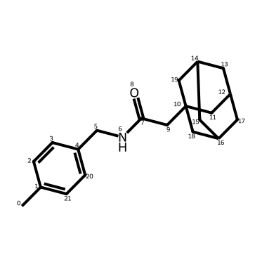 Cc1ccc(CNC(=O)CC23CC4CC(CC(C4)C2)C3)cc1